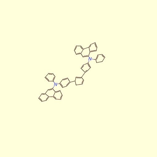 C1=CCCC(N(c2ccc(C3=CC(c4ccc(N(c5ccccc5)c5cc6ccccc6c6ccccc56)cc4)CC=C3)cc2)c2cc3ccccc3c3ccccc23)=C1